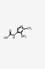 Cn1ncc(NC(=O)O)c1N